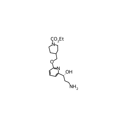 CCOC(=O)N1CCC(COc2cccc([C@H](O)CCN)n2)CC1